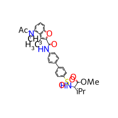 COC(=O)C(NS(=O)(=O)c1ccc(-c2ccc(NC(=O)c3oc4cccc(N(C)C(C)=O)c4c3C)cc2)cc1)C(C)C